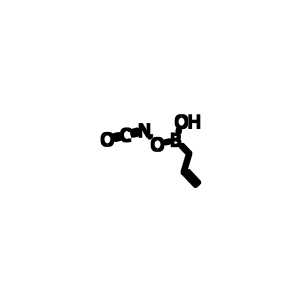 C=CCB(O)ON=C=O